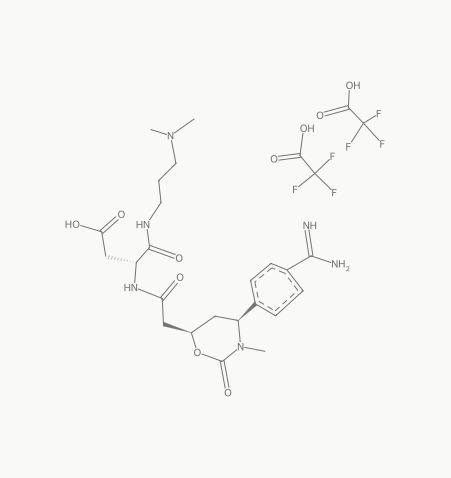 CN(C)CCCNC(=O)[C@@H](CC(=O)O)NC(=O)C[C@H]1C[C@@H](c2ccc(C(=N)N)cc2)N(C)C(=O)O1.O=C(O)C(F)(F)F.O=C(O)C(F)(F)F